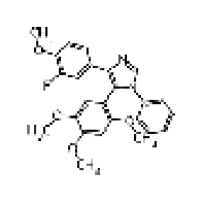 COc1ccc(-c2ncn(-c3ccccc3)c2-c2cc(OC)c(OC)cc2OC)cc1F